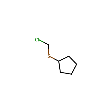 ClCSC1CCCC1